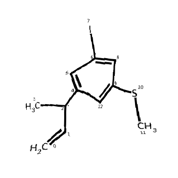 C=C[C](C)c1cc(I)cc(SC)c1